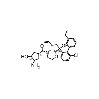 C=CCC[C@](O)(c1cccc(Cl)c1-c1cccc(CC)c1)[C@H]1CN(C(=O)[C@H]2C[C@@H](N)[C@@H](O)C2)CCO1